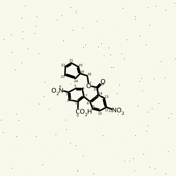 O=C(O)c1cc([N+](=O)[O-])ccc1-c1ccc([N+](=O)[O-])cc1C(=O)OCc1ccccc1